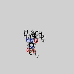 CC(C)C(C)(C)C(=O)NC1CCN(S(C)(=O)=O)CC1